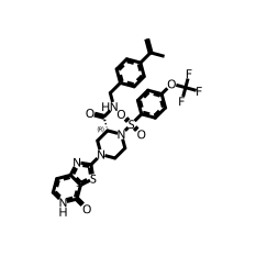 C=C(C)c1ccc(CNC(=O)[C@H]2CN(c3nc4cc[nH]c(=O)c4s3)CCN2S(=O)(=O)c2ccc(OC(F)(F)F)cc2)cc1